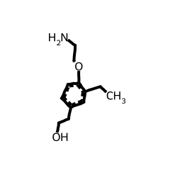 CCc1cc(CCO)ccc1OCCN